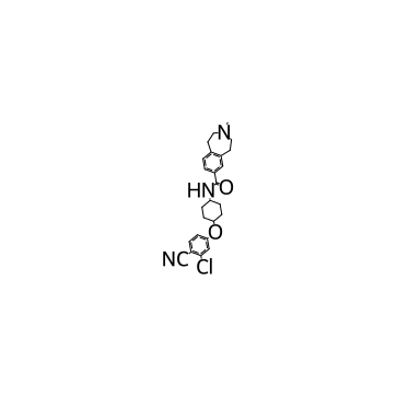 CN1CCc2ccc(C(=O)N[C@H]3CC[C@H](Oc4ccc(C#N)c(Cl)c4)CC3)cc2CC1